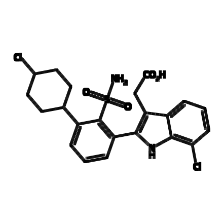 NS(=O)(=O)c1c(-c2[nH]c3c(Cl)cccc3c2CC(=O)O)cccc1C1CCC(Cl)CC1